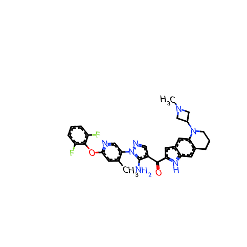 Cc1cc(Oc2c(F)cccc2F)ncc1-n1ncc(C(=O)c2cc3cc4c(cc3[nH]2)CCCN4C2CN(C)C2)c1N